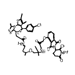 Cc1sc2c(c1C)C(c1ccc(Cl)cc1)=N[C@@H](CC(=O)NCCC(C)OCC(C)(C)NC(=O)COc1cccc3c1C(=O)N(C1CCC(=O)NC1=O)C3=O)c1nnc(C)n1-2